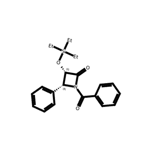 CC[Si](CC)(CC)O[C@@H]1C(=O)N(C(=O)c2ccccc2)[C@@H]1c1ccccc1